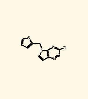 Clc1cnc2ccn(Cc3cccs3)c2n1